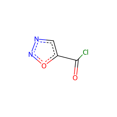 O=C(Cl)c1cnno1